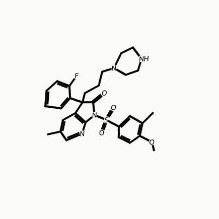 COc1ccc(S(=O)(=O)N2C(=O)C(CCCN3CCNCC3)(c3ccccc3F)c3cc(C)cnc32)cc1C